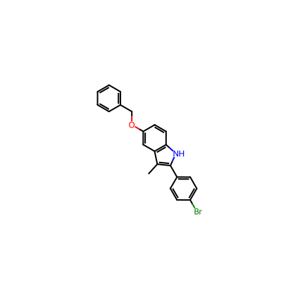 Cc1c(-c2ccc(Br)cc2)[nH]c2ccc(OCc3ccccc3)cc12